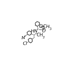 C[C@H](N[C@H](CS(C)(=O)=O)c1ccccc1)C(Cc1ccc(Cl)cc1)c1cccc(C#N)c1